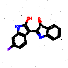 O=C1C(c2c(O)[nH]c3cc(I)ccc23)=Nc2ccccc21